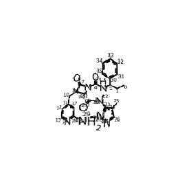 CCC(NC(=O)N1C(=O)[C@H](Cc2ccnc(N)c2)[C@H]1C(=O)N(C)c1c(C)cnn1C)c1ccccc1